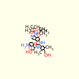 Cc1cc(C(Nc2ccc3c(N(C(=O)OC(C)(C)C)C(=O)OC(C)(C)C)nccc3c2)C(=O)NC(CC(=O)O)c2cccc(N)c2)cc(C)c1CCO